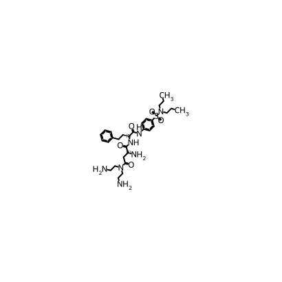 CCCN(CCC)S(=O)(=O)c1ccc(NC(=O)[C@H](CCc2ccccc2)NC(=O)[C@@H](N)CC(=O)N(CCN)CCN)cc1